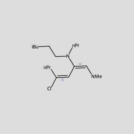 CCC/C(Cl)=C\C(=C/NC)N(CCC)CCC(C)CC